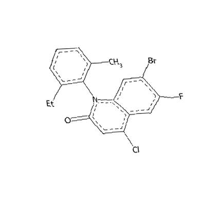 CCc1cccc(C)c1-n1c(=O)cc(Cl)c2cc(F)c(Br)cc21